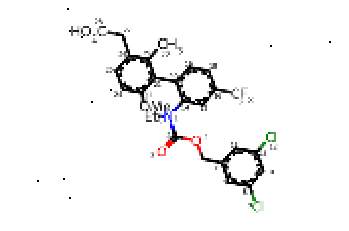 CCN(C(=O)OCc1cc(Cl)cc(Cl)c1)c1cc(C(F)(F)F)ccc1-c1c(OC)ccc(CC(=O)O)c1C